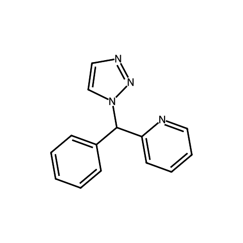 c1ccc(C(c2ccccn2)n2ccnn2)cc1